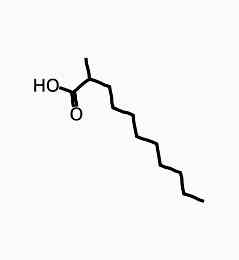 CCCCCCCCCC(C)C(=O)O